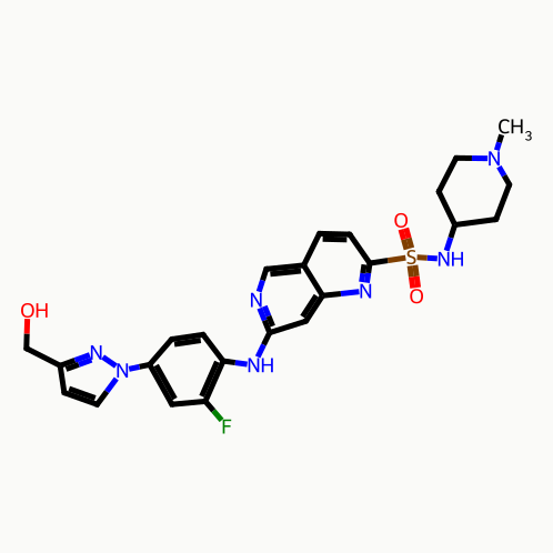 CN1CCC(NS(=O)(=O)c2ccc3cnc(Nc4ccc(-n5ccc(CO)n5)cc4F)cc3n2)CC1